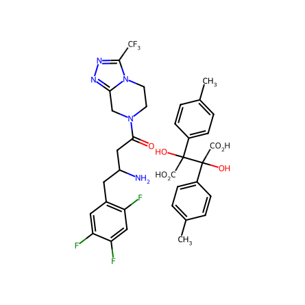 Cc1ccc(C(O)(C(=O)O)C(O)(C(=O)O)c2ccc(C)cc2)cc1.NC(CC(=O)N1CCn2c(nnc2C(F)(F)F)C1)Cc1cc(F)c(F)cc1F